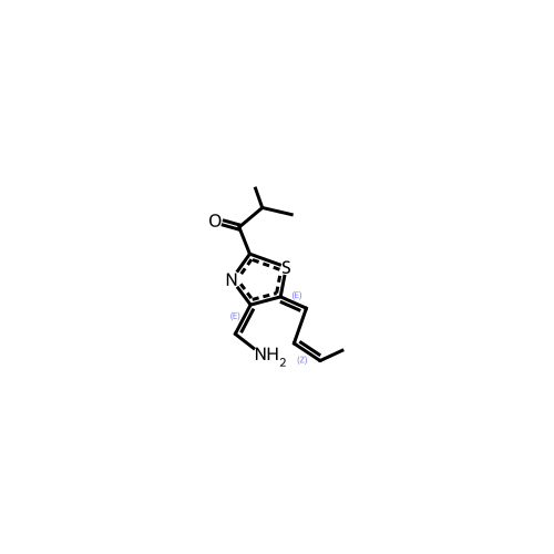 C\C=C/C=c1/sc(C(=O)C(C)C)n/c1=C/N